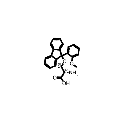 COc1ccccc1C1(O[C@H](C)[C@H](N)C(=O)O)c2ccccc2-c2ccccc21